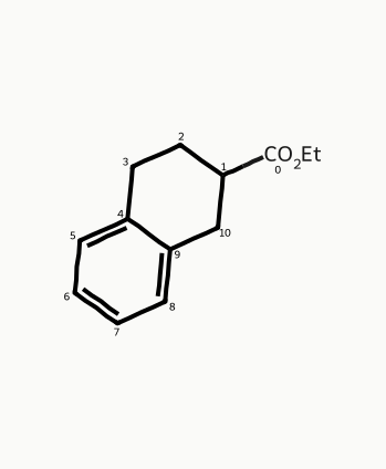 CCOC(=O)C1CCc2ccccc2C1